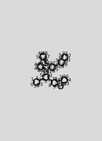 c1ccc(-c2cc(-c3ccc4oc5ccccc5c4c3)cc(N(c3ccc(-c4ccc5ccccc5c4)cc3)c3cccc4c3sc3ccccc34)c2)cc1